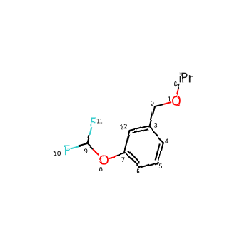 CC(C)OCc1cccc(OC(F)F)c1